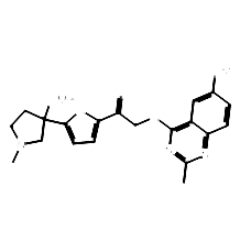 COc1ccc2nc(C)nc(SCC(=O)c3ccc(C4(OC)CCN(C)C4)s3)c2c1